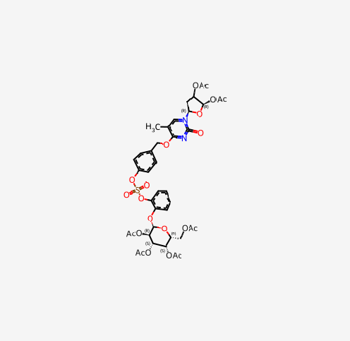 CC(=O)OC[C@H]1OC(Oc2ccccc2OS(=O)(=O)Oc2ccc(COc3nc(=O)n([C@H]4CC(OC(C)=O)[C@@H](OC(C)=O)O4)cc3C)cc2)[C@H](OC(C)=O)[C@@H](OC(C)=O)[C@H]1OC(C)=O